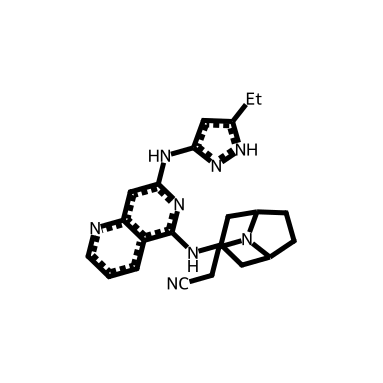 CCc1cc(Nc2cc3ncccc3c(NC3CC4CCC(C3)N4CCC#N)n2)n[nH]1